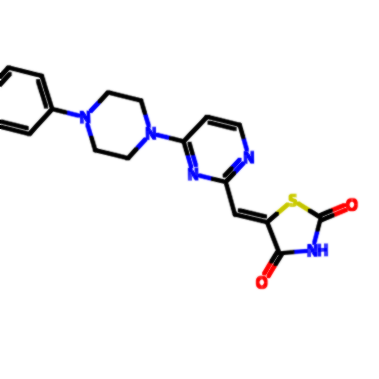 O=C1NC(=O)/C(=C/c2nccc(N3CCN(c4ccccc4)CC3)n2)S1